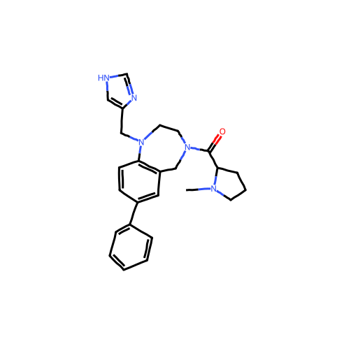 CN1CCCC1C(=O)N1CCN(Cc2c[nH]cn2)c2ccc(-c3ccccc3)cc2C1